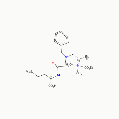 CCOC(=O)[N+](C)(C)[C@H](CN(CC(=O)N[C@@H](CCSC)C(=O)O)Cc1ccccc1)[C@@H](C)CC